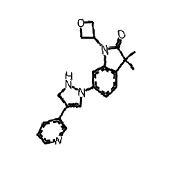 CC1(C)C(=O)N(C2COC2)c2cc(N3C=C(c4cccnc4)CN3)ccc21